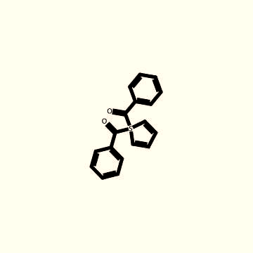 O=C(c1ccccc1)S1(C(=O)c2ccccc2)C=CC=C1